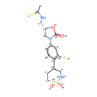 CC(=S)NC[C@H]1CN(c2ccc(C3CCS(=O)(=O)NC3)c(F)c2)C(=O)O1